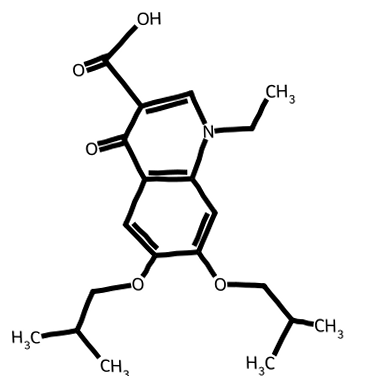 CCn1cc(C(=O)O)c(=O)c2cc(OCC(C)C)c(OCC(C)C)cc21